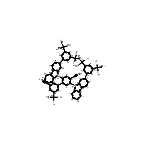 N#Cc1cc(-c2cc(-n3c4ccccc4c4ccc(-c5cc(C(F)(F)F)cc(C(F)(F)F)c5)cc43)c(C#N)cc2-n2c3ccccc3c3ccc(-c4cc(C(F)(F)F)cc(C(F)(F)F)c4)cc32)cc(C(F)(F)F)c1